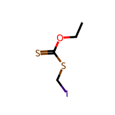 CCOC(=S)SCI